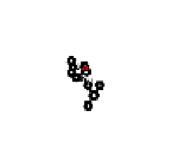 c1ccc(-c2ccc(-c3ccccc3)c(-c3cnc(-n4c5ccccc5c5c6c(ccc7c8ccccc8n(-c8ccccc8)c76)ccc54)cn3)c2)cc1